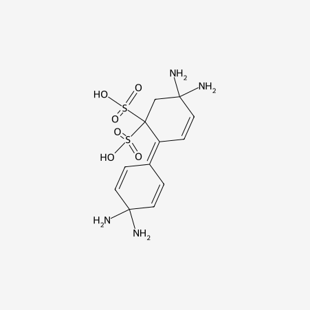 NC1(N)C=CC(=C2C=CC(N)(N)CC2(S(=O)(=O)O)S(=O)(=O)O)C=C1